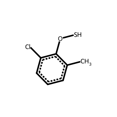 Cc1cccc(Cl)c1OS